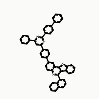 c1ccc(-c2ccc(-c3nc(-c4ccccc4)cc(-c4ccc(-c5ccc6nc(-c7cccc8ccccc78)c7c8ccccc8sc7c6c5)cc4)n3)cc2)cc1